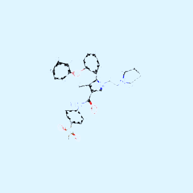 Cc1c(C(=O)Nc2ccc(S(C)(=O)=O)cc2)cn(CCN2CCCC2)c1-c1ccccc1Oc1ccccc1